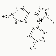 Cc1ccc(-c2ccc(O)cc2)n1-c1ccc(Br)cc1